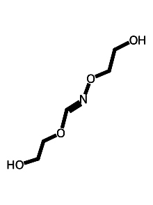 OCCOC=NOCCO